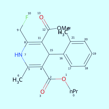 CCCOC(=O)C1=C(C)NC(CF)=C(C(=O)OC)C1c1ccccc1C